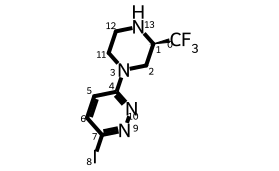 FC(F)(F)[C@H]1CN(c2ccc(I)nn2)CCN1